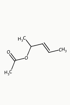 CC=CC(C)OC(C)=O